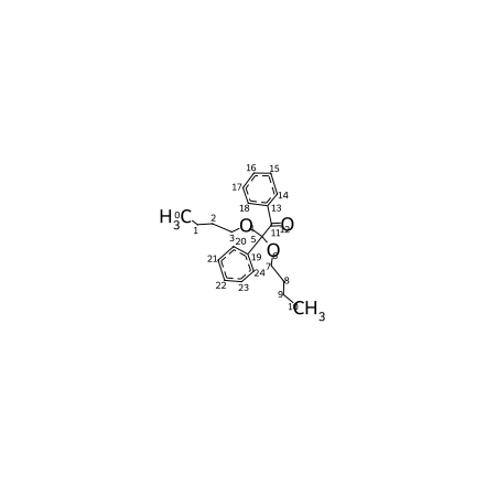 CCCCOC(OCCCC)(C(=O)c1ccccc1)c1ccccc1